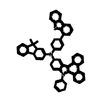 CC1(C)c2ccccc2C2C=CC(N(C3=CC=C(c4cccc5c4sc4ccccc45)CC3)C3C=c4c(n(C5=CC=CCC5)c5c6ccccc6c6ccccc6c45)=CC3)=CC21